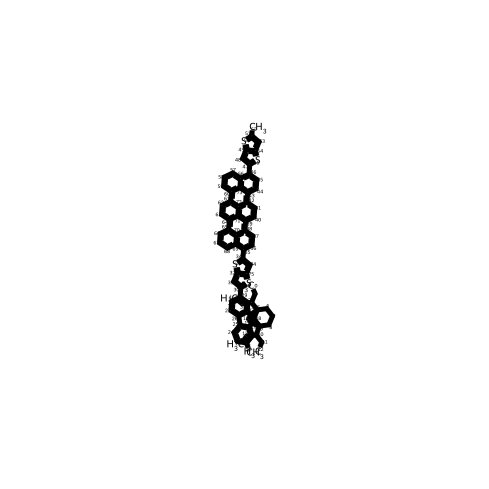 CCC(CC)C12CCCC(C(CC)CC)(CCC1)C21c2cc(C)ccc2-c2ccc(-c3cc4sc(-c5ccc6c7ccc8c9ccc(-c%10cc%11sc(C)cc%11s%10)c%10cccc(c%11ccc(c%12cccc5c%126)c7c%118)c%109)cc4s3)cc21